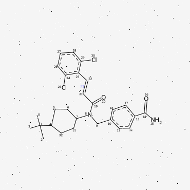 CC(C)(C)C1CCC(N(Cc2ccc(C(N)=O)cc2)C(=O)/C=C/c2c(Cl)cccc2Cl)CC1